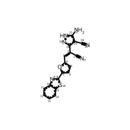 N#CC(=Cc1ccc(-c2nc3ccccc3s2)o1)c1n[nH]c(N)c1C#N